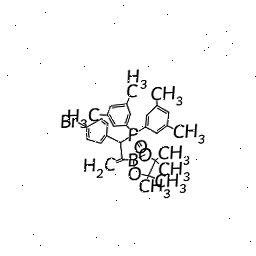 C=C(B1OC(C)(C)C(C)(C)O1)C(c1ccc(Br)cc1)P(=O)(c1cc(C)cc(C)c1)c1cc(C)cc(C)c1